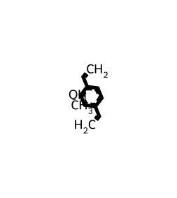 C=Cc1ccc(C=C)cc1.CO